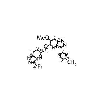 COc1cc2nnc(-c3cc(C)on3)n2nc1OCc1ccc2nnc(C(C)C)n2n1